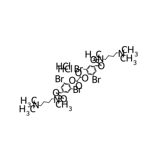 CN(C)CCCCN(C)S(=O)(=O)c1cc(Br)c(OC(=O)C(=O)Oc2c(Br)cc(S(=O)(=O)N(C)CCCCN(C)C)cc2Br)c(Br)c1.Cl.Cl